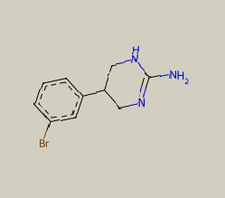 NC1=NCC(c2cccc(Br)c2)CN1